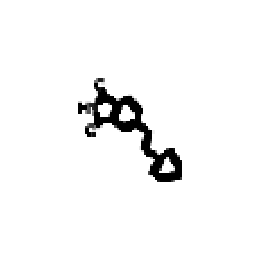 O=C1NC(=O)c2cc(C=Cc3ccccc3)ccc21